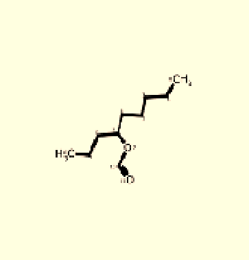 CCCCC[C@H](CCC)O[C]=O